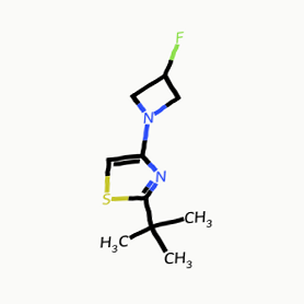 CC(C)(C)c1nc(N2CC(F)C2)cs1